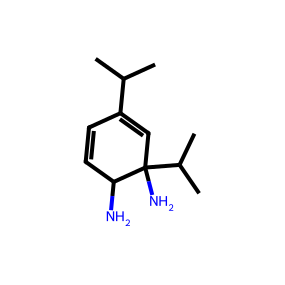 CC(C)C1=CC(N)(C(C)C)C(N)C=C1